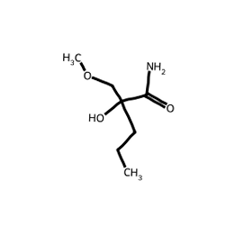 CCCC(O)(COC)C(N)=O